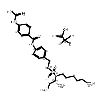 N=C(N)Nc1ccc(C(=O)Oc2ccc(CNS(=O)(=O)N(CCCCCC(=O)O)[C@@H](CC(=O)O)C(=O)O)cc2)cc1.O=C(O)C(F)(F)F